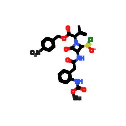 C=C(C)C(C(=O)OCc1ccc([N+](=O)[O-])cc1)N1C(=O)C(NC(=O)Cc2ccccc2NC(=O)OC(C)(C)C)C1[S+]([O-])Cl